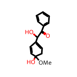 COC1(O)C=CC(C(O)C(=O)c2ccccc2)=CC1